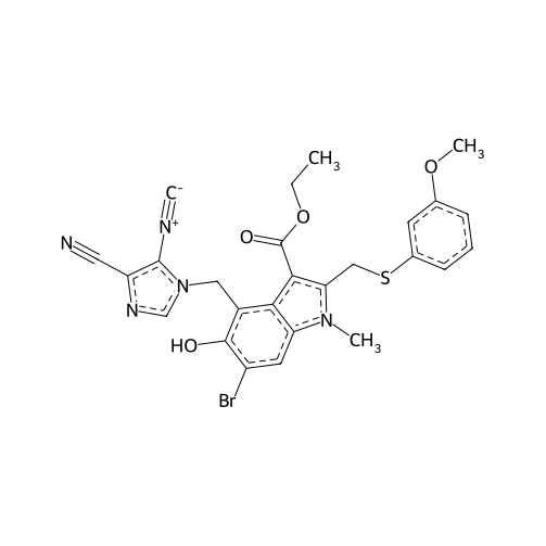 [C-]#[N+]c1c(C#N)ncn1Cc1c(O)c(Br)cc2c1c(C(=O)OCC)c(CSc1cccc(OC)c1)n2C